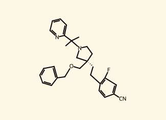 CC(C)(c1ccccn1)N1CC[C@@](CCc2ccc(C#N)cc2F)(COCc2ccccc2)C1